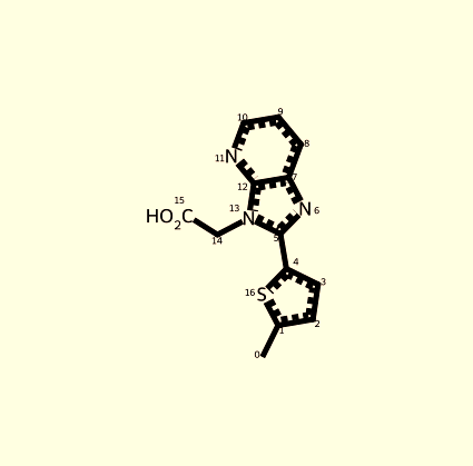 Cc1ccc(-c2nc3cccnc3n2CC(=O)O)s1